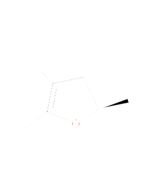 CC1=C(C)O[C@H](C)C1